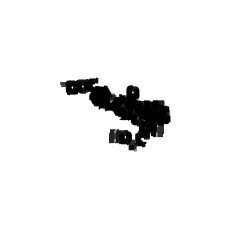 NC1(/C(=N/OCC(=O)O)C(=O)NC2C(=O)N3C=C(C[n+]4ccc(C(=O)[O-])cc4)CS[C@H]23)N=CSN1